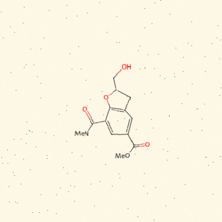 CNC(=O)c1cc(C(=O)OC)cc2c1OC(CO)C2